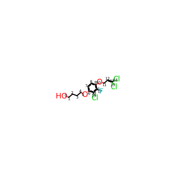 OCCCCOc1ccc(OCC=C(Cl)Cl)c(F)c1Cl